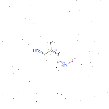 C/C(C=N)=C/C=N\I